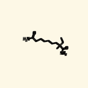 CCC(C)(CCCCCCC(N)=O)C(N)=O